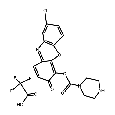 O=C(O)C(F)(F)F.O=C(Oc1c2oc3ccc(Cl)cc3nc-2ccc1=O)N1CCNCC1